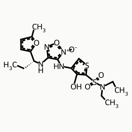 CC[C@@H](Nc1no[n+]([O-])c1Nc1csc(S(=O)(=O)N(CC)CC)c1O)c1ccc(C)o1